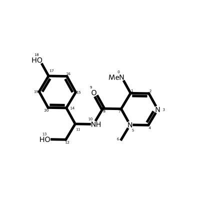 CNC1=CN=CN(C)C1C(=O)NC(CO)c1ccc(O)cc1